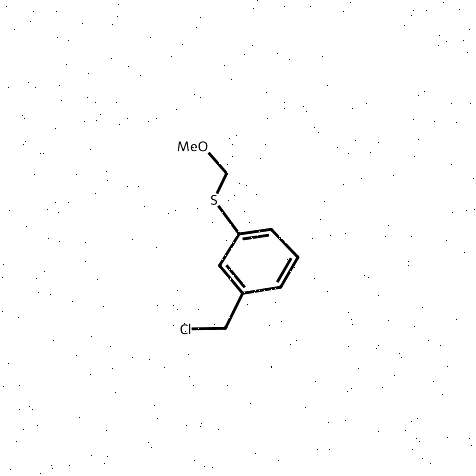 COCSc1cccc(CCl)c1